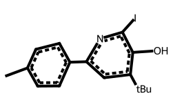 Cc1ccc(-c2cc(C(C)(C)C)c(O)c(I)n2)cc1